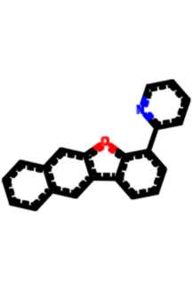 c1ccc(-c2cccc3c2oc2cc4ccccc4cc23)nc1